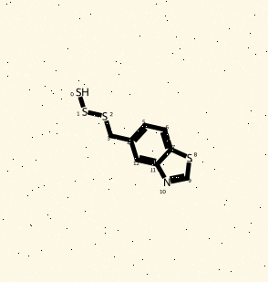 SSSCc1ccc2scnc2c1